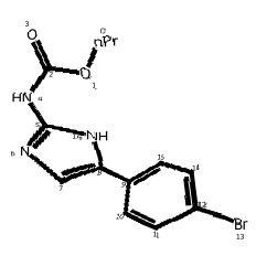 CCCOC(=O)Nc1ncc(-c2ccc(Br)cc2)[nH]1